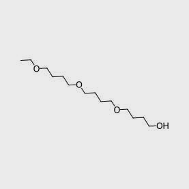 CCOCCCCOCCCCOCCCCO